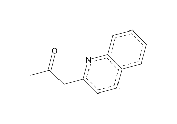 CC(=O)Cc1c[c]c2ccccc2n1